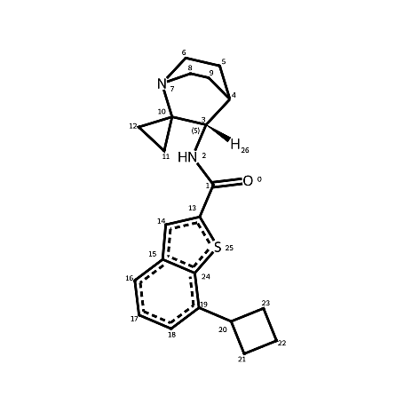 O=C(N[C@H]1C2CCN(CC2)C12CC2)c1cc2cccc(C3CCC3)c2s1